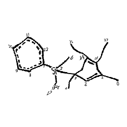 CC1=[C]C(C)([Si](C)(c2ccccc2)C(C)C)C(C)=C1C